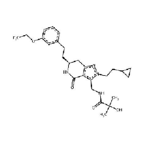 CC(C)(O)C(=O)NCc1c2c(nn1CCC1CC1)C[C@H](CCc1cccc(OCC(F)(F)F)c1)NC2=O